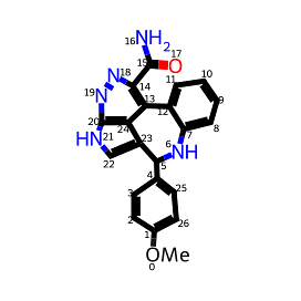 COc1ccc(C2Nc3ccccc3-c3c(C(N)=O)nnc4[nH]cc2c34)cc1